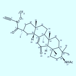 C#CN(OC(F)(F)F)C(=O)[C@@]1(C)CC[C@]2(C)CC[C@]3(C)C(=CC(=O)[C@@H]4[C@@]5(C)CC[C@H](NC(C)=O)C(C)(C)C5CC[C@]43C)[C@@H]2C1